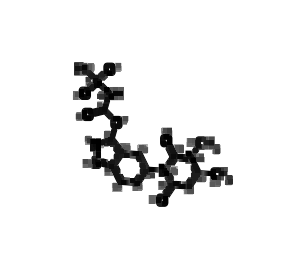 CCS(=O)(=O)NC(=O)Oc1nsc2ccc(-n3c(=O)cc(C(F)(F)F)n(C)c3=O)cc12